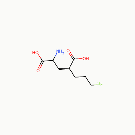 NC(C[C@H](CCC[18F])C(=O)O)C(=O)O